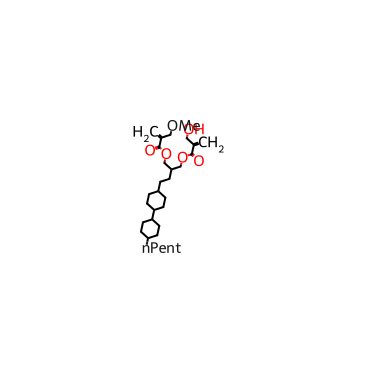 C=C(CO)C(=O)OCC(CCC1CCC(C2CCC(CCCCC)CC2)CC1)COC(=O)C(=C)COC